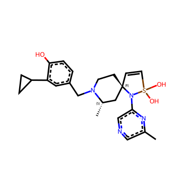 Cc1cncc(N2[C@]3(C=CS2(O)O)CCN(Cc2ccc(O)c(C4CC4)c2)[C@@H](C)C3)n1